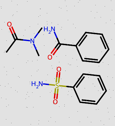 CC(=O)N(C)C.NC(=O)c1ccccc1.NS(=O)(=O)c1ccccc1